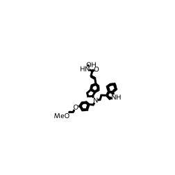 COCCOc1ccc(CN(CCc2c[nH]c3ccccc23)C2CCc3cc(/C=C/C(=O)NO)ccc32)cc1